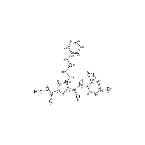 COC(=O)c1cc(C(=O)Nc2ccc(Br)cc2C)n(CCOCc2ccccc2)n1